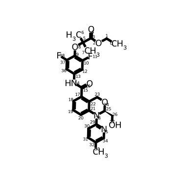 CCOC(=O)C(C)(C)Oc1c(F)cc(NC(=O)c2cccc3c2CO[C@@H](CO)N3c2ccc(C)cn2)cc1F